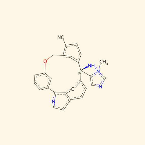 Cn1cncc1[C@@]1(N)c2ccc(C#N)c(c2)COc2cccc(c2)-c2nccc3ccc1cc23